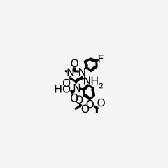 CC(=O)Oc1cccc(N(C(=O)O)c2c(N)n(-c3ccc(F)cc3)c(=O)n(C)c2=O)c1OC(C)=O